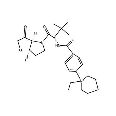 CC[N+]1(c2ccc(C(=O)N[C@H](C(=O)N3CC[C@H]4OCC(=O)[C@H]43)C(C)(C)C)cc2)CCCCC1